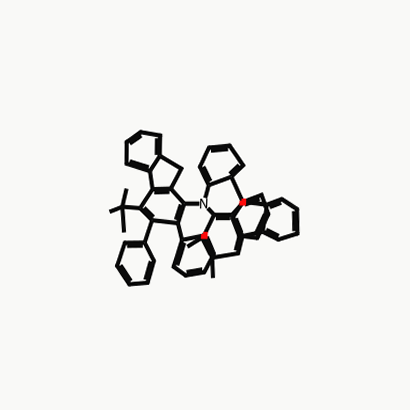 Cc1cc2c(c(N(c3ccccc3-c3ccccc3)c3c4c(c(C(C)(C)C)c(-c5ccccc5)c3-c3ccccc3)-c3ccccc3C4)c1C)Cc1ccccc1-2